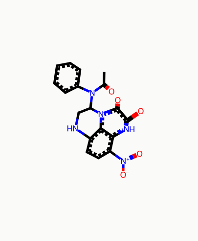 CC(=O)N(c1ccccc1)C1CNc2ccc([N+](=O)[O-])c3[nH]c(=O)c(=O)n1c23